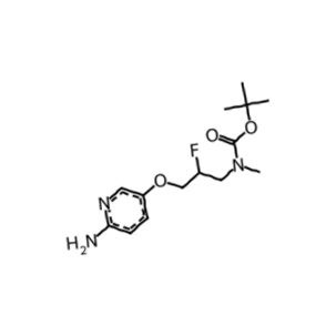 CN(CC(F)COc1ccc(N)nc1)C(=O)OC(C)(C)C